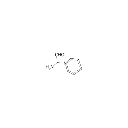 NC(C=O)[n+]1ccccc1